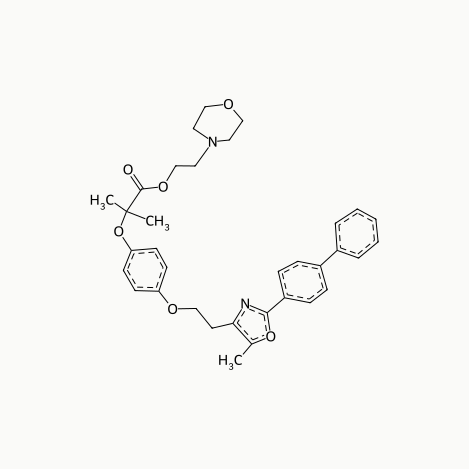 Cc1oc(-c2ccc(-c3ccccc3)cc2)nc1CCOc1ccc(OC(C)(C)C(=O)OCCN2CCOCC2)cc1